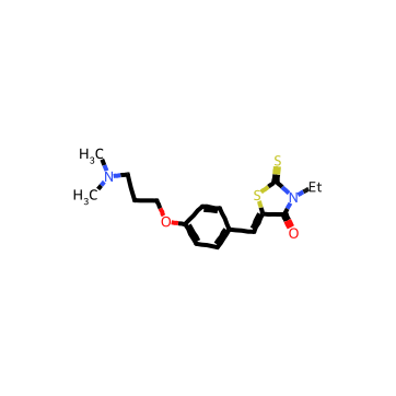 CCN1C(=O)/C(=C/c2ccc(OCCCN(C)C)cc2)SC1=S